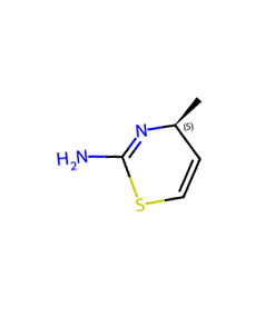 C[C@H]1C=CSC(N)=N1